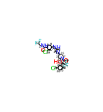 O=C(NCC(F)F)c1ccc(NC2CN(C3CCN(C(=O)C(O)(c4cccc(Cl)c4)C(F)(F)F)CC3)C2)cc1Cl